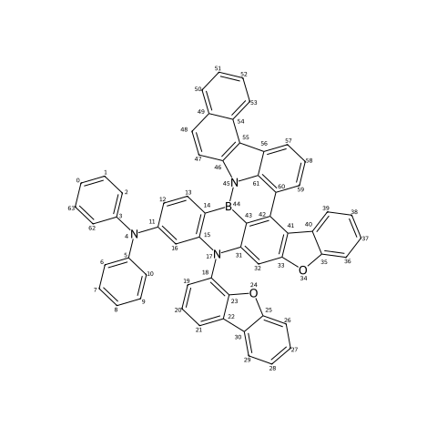 c1ccc(N(c2ccccc2)c2ccc3c(c2)N(c2cccc4c2oc2ccccc24)c2cc4oc5ccccc5c4c4c2B3n2c3ccc5ccccc5c3c3cccc-4c32)cc1